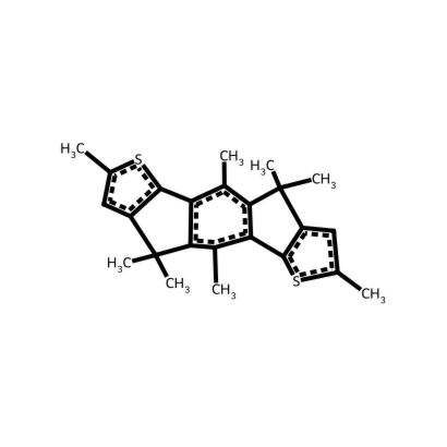 Cc1cc2c(s1)-c1c(C)c3c(c(C)c1C2(C)C)-c1sc(C)cc1C3(C)C